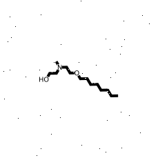 CCCCCCCCOCCN(C)CCO